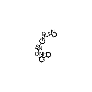 O=C(Nc1ccccc1-c1ccccc1)c1csc(C2CCN(C(=O)CSc3ccccn3)CC2)n1